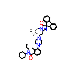 C=CCN(C(=O)c1cccc(N2CCN(CCCCC3(C(=O)NCC(F)(F)F)c4ccccc4-c4ccccc43)CC2)c1C)C1CCCCC1